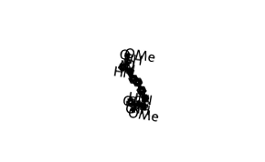 COC(=O)NCC(=O)N1CCC[C@H]1c1ncc(-c2ccc3cc(-c4ccc(-c5cnc([C@@H]6CCCN6C(=O)[C@H](NC(=O)OC)C6CCOCC6)[nH]5)cc4)ccc3c2)[nH]1